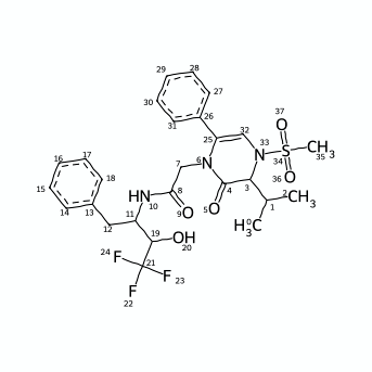 CC(C)C1C(=O)N(CC(=O)NC(Cc2ccccc2)C(O)C(F)(F)F)C(c2ccccc2)=CN1S(C)(=O)=O